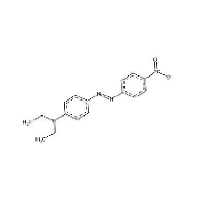 [CH2]CN(CC)c1ccc(/N=N/c2ccc([N+](=O)[O-])cc2)cc1